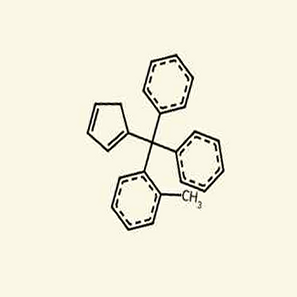 Cc1ccccc1C(C1=CC=CC1)(c1ccccc1)c1ccccc1